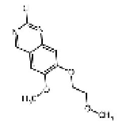 COCCOc1cc2nc(Cl)ncc2cc1OC